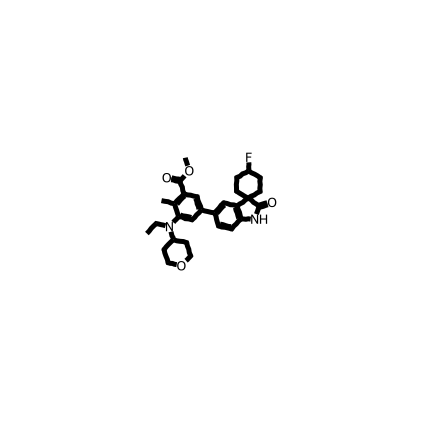 CCN(c1cc(-c2ccc3c(c2)C2(CCC(F)CC2)C(=O)N3)cc(C(=O)OC)c1C)C1CCOCC1